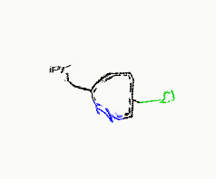 CC(C)[CH]c1ccc(Cl)cn1